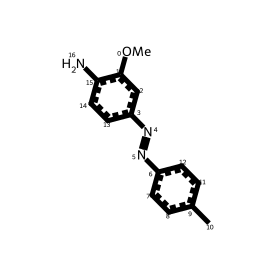 COc1cc(/N=N/c2ccc(C)cc2)ccc1N